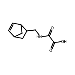 O=C(O)C(=O)NCC1CC2C=CC1C2